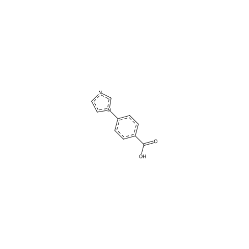 O=C(O)c1ccc(-n2ccnc2)cc1